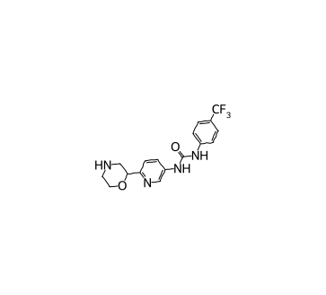 O=C(Nc1ccc(C(F)(F)F)cc1)Nc1ccc(C2CNCCO2)nc1